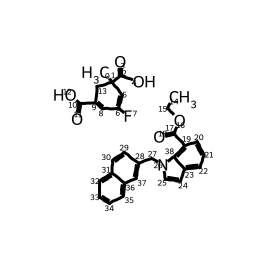 CC1(C(=O)O)C=C(F)C=C(C(=O)O)C1.CCOC(=O)c1cccc2ccn(Cc3ccc4ccccc4c3)c12